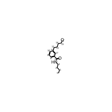 CCCCNC(=O)c1cccc(CCCC[O])c1